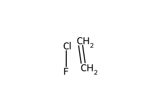 C=C.FCl